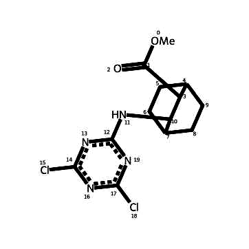 COC(=O)C1C2CCC(CC2)C1Nc1nc(Cl)nc(Cl)n1